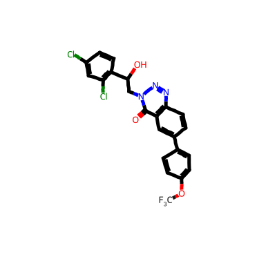 O=c1c2cc(-c3ccc(OC(F)(F)F)cc3)ccc2nnn1CC(O)c1ccc(Cl)cc1Cl